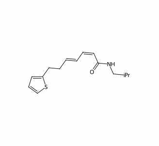 CC(C)CNC(=O)/C=C\C=CCCc1cccs1